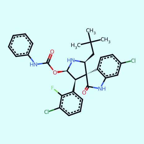 CC(C)(C)C[C@@H]1N[C@H](OC(=O)Nc2ccccc2)[C@H](c2cccc(Cl)c2F)[C@]12C(=O)Nc1cc(Cl)ccc12